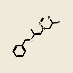 C=NN(/C=C(\C)SCc1ccccc1)CC(F)F